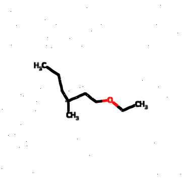 CCC[C](C)CCOCC